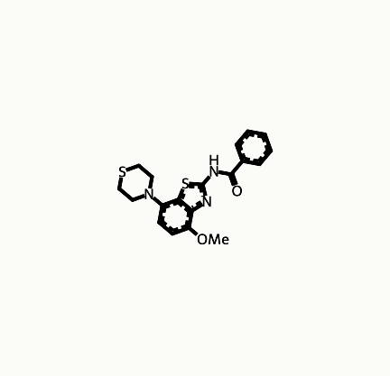 COc1ccc(N2CCSCC2)c2sc(NC(=O)c3ccccc3)nc12